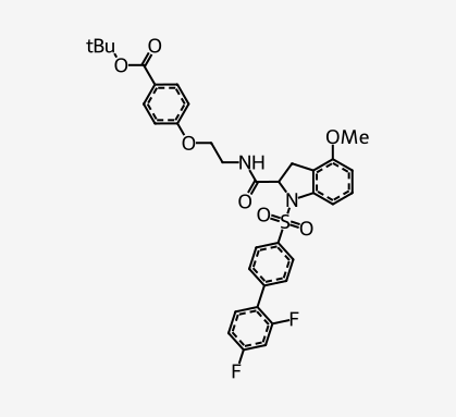 COc1cccc2c1CC(C(=O)NCCOc1ccc(C(=O)OC(C)(C)C)cc1)N2S(=O)(=O)c1ccc(-c2ccc(F)cc2F)cc1